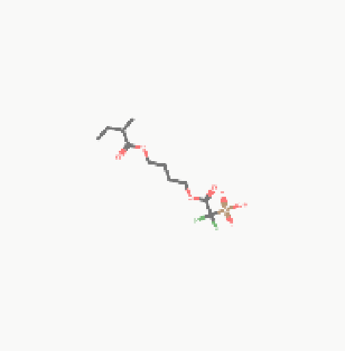 CCC(C)C(=O)OCCCCOC(=O)C(F)(F)S(=O)(=O)O